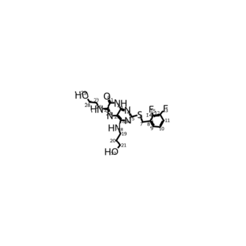 O=c1[nH]c2nc(SCc3cccc(F)c3F)nc(NCCCO)c2nc1NCCO